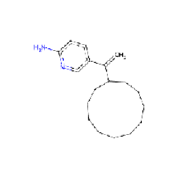 C=C(c1ccc(N)nc1)C1CCCCCCCCCC1